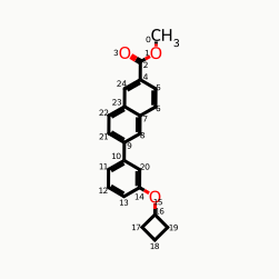 COC(=O)c1ccc2cc(-c3cccc(OC4CCC4)c3)ccc2c1